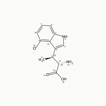 C[C@@H](c1c[nH]c2cccc(Cl)c12)[C@H](N)C(=O)O